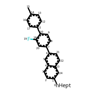 CCCCCCCc1ccc2cc(-c3ccc(-c4ccc(C)cc4)c(F)c3)ccc2c1